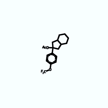 CC(=O)OC1(c2ccc(OC(F)(F)F)cc2)CC2CCCCC2C1